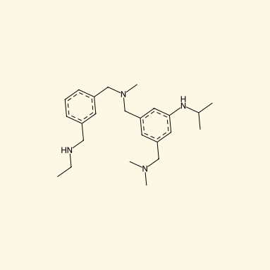 CCNCc1cccc(CN(C)Cc2cc(CN(C)C)cc(NC(C)C)c2)c1